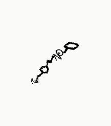 N#Cc1ccc(C=CC=NOCc2ccccc2)cc1